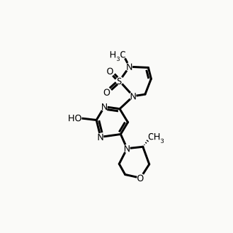 C[C@@H]1COCCN1c1cc(N2CC=CN(C)S2(=O)=O)nc(O)n1